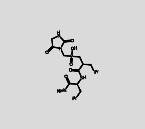 CNC(=O)[C@H](CC(C)C)NC(=O)[C@H](CC(C)C)CP(=O)(O)CN1C(=O)CNC1=O